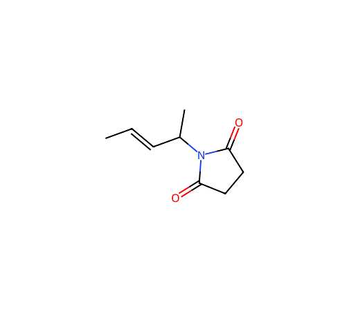 CC=CC(C)N1C(=O)CCC1=O